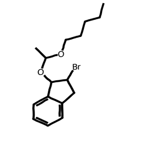 CCCCCOC(C)OC1c2ccccc2CC1Br